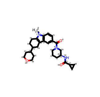 Cn1c2c(c3cc(C(=O)N4CCC[C@H](NC(=O)C5CC5)C4)ccc31)CC(C1CCOCC1)CC2